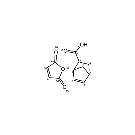 O=C(O)C1CC2C=CC1C2.O=C1C=CC(=O)O1